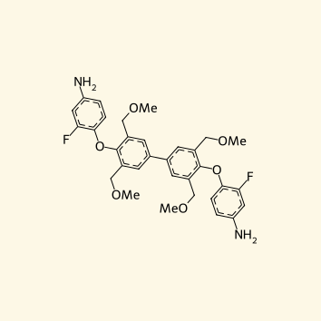 COCc1cc(-c2cc(COC)c(Oc3ccc(N)cc3F)c(COC)c2)cc(COC)c1Oc1ccc(N)cc1F